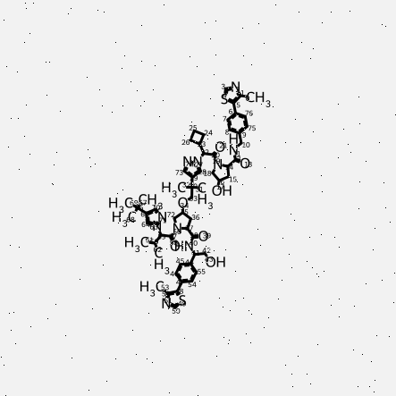 Cc1ncsc1-c1ccc(CNC(=O)C2CC(O)CN2C(=O)C(C2CCC2)n2cc(C(C)(C)COC3CC(C(=O)NC(CO)c4ccc(-c5scnc5C)cc4)N(C(=O)C(C(C)C)n4cc(C(C)(C)C)cn4)C3)cn2)cc1